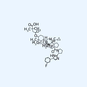 CC(C)(CC(=O)O[C@H]1CC[C@]2(C)[C@H]3CC[C@@H]4[C@H]5[C@H](C6(C)CC6)CC[C@]5(C(=O)N5CCC[C@H]5c5ncc(-c6cccc(F)c6)[nH]5)CC[C@@]4(C)[C@]3(C)CC[C@H]2C1(C)C)C(=O)O